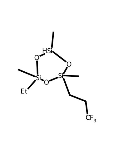 CC[Si]1(C)O[SiH](C)O[Si](C)(CCC(F)(F)F)O1